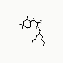 CCCCC(CCCC)=NOC(=O)NC1=CCC(C)(C)CC1C